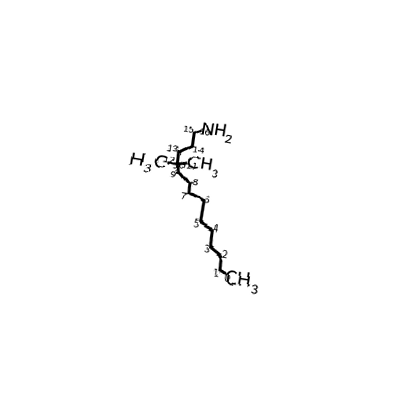 CCCCCCCCCCC(C)(C)CCCN